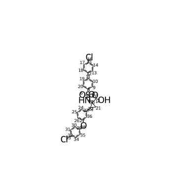 O=C(O)[C@@]1(NS(=O)(=O)c2ccc(-c3ccc(Cl)cc3)cc2)C[C@H]1c1cccc(Oc2ccc(Cl)cc2)c1